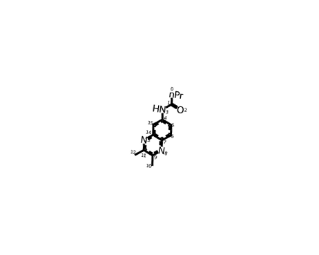 CCCC(=O)Nc1ccc2nc(C)c(C)nc2c1